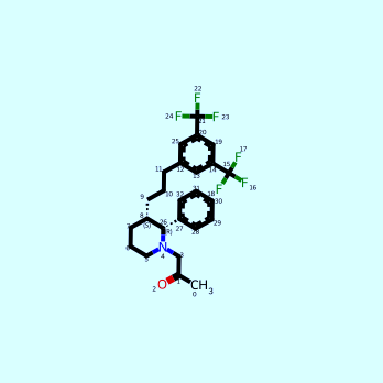 CC(=O)CN1CCC[C@H](CCCc2cc(C(F)(F)F)cc(C(F)(F)F)c2)[C@@H]1c1ccccc1